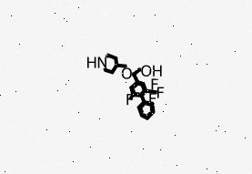 OCC(OCC1CCNCC1)c1cc(F)c(-c2ccccc2)c(C(F)(F)F)c1